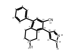 CCN1CCc2c(-c3ccccc3)cc(C#N)c(-c3cnn(C)c3)c2C1